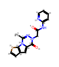 CC(C)c1nn(CC(=O)Nc2ccccn2)c(=O)c2cc3ccsc3n12